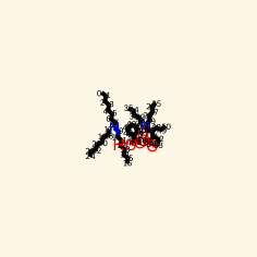 CCCCCCCCN(CCCCCCCC)CCCCCCCC.CCCCCN(CCCCC)[C@@H](Oc1ccccc1C(=O)O)C(CCC)C1CCOC1=O